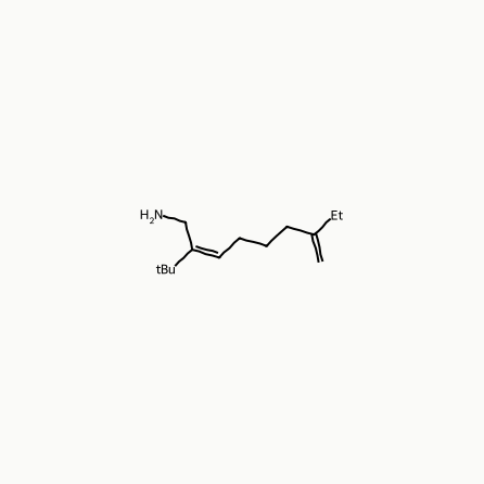 C=C(CC)CCC/C=C(\CN)C(C)(C)C